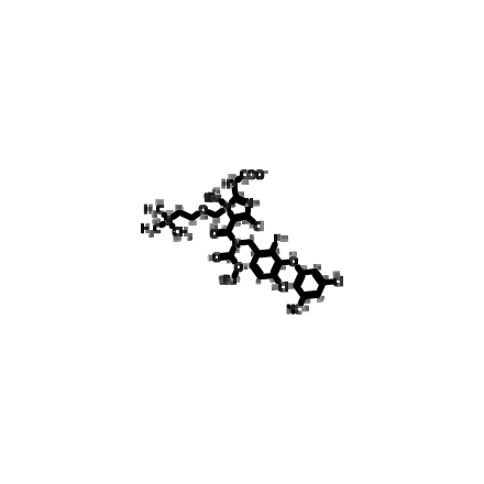 CC(C)(C)OC(=O)N(Cc1ccc(Cl)c(Oc2cc(Cl)cc(C#N)c2)c1F)C(=O)C1=C(Cl)N=C(NC(=O)[O-])[N+]1(COCC[Si](C)(C)C)C(C)(C)C